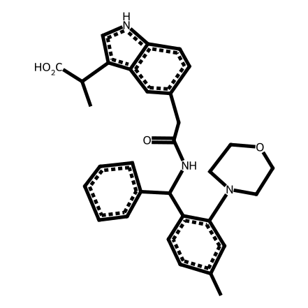 Cc1ccc(C(NC(=O)Cc2ccc3[nH]cc(C(C)C(=O)O)c3c2)c2ccccc2)c(N2CCOCC2)c1